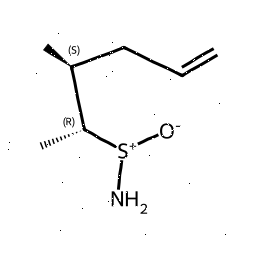 C=CC[C@H](C)[C@@H](C)[S+](N)[O-]